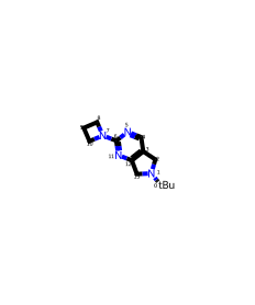 CC(C)(C)N1Cc2cnc(N3CCC3)nc2C1